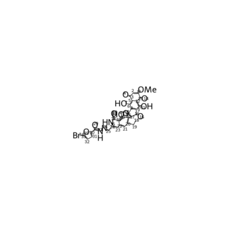 COC1=CC(=O)c2c(O)c3c(c(O)c2C1=O)C(=O)[C@]1(CCc2cc4cc(/C=N/NC(=O)c5ccc(Br)o5)[nH]c(=O)c4c(O)c21)C3=O